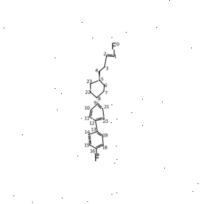 FC=CCC[C@H]1CC[C@H](c2ccc(-c3ccc(F)cc3)cc2)CC1